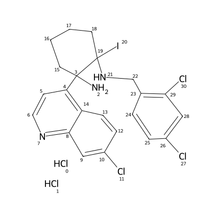 Cl.Cl.NC1(c2ccnc3cc(Cl)ccc23)CCCCC1(I)NCc1ccc(Cl)cc1Cl